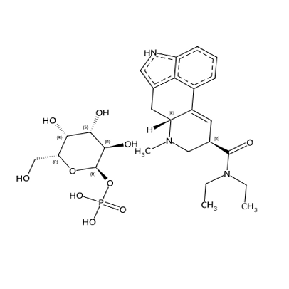 CCN(CC)C(=O)[C@@H]1C=C2c3cccc4[nH]cc(c34)C[C@H]2N(C)C1.O=P(O)(O)O[C@H]1O[C@H](CO)[C@H](O)[C@H](O)[C@H]1O